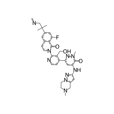 C=NCC(C)(C)c1cc(F)c2c(=O)n(-c3nccc(-c4cc(Nc5cc6n(n5)CCN(C)C6)c(=O)n(C)n4)c3CO)ccc2c1